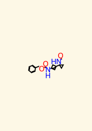 O=CNC1(C23CC(NC(=O)OCc4ccccc4)(C2)C3)CC1